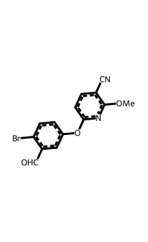 COc1nc(Oc2ccc(Br)c(C=O)c2)ccc1C#N